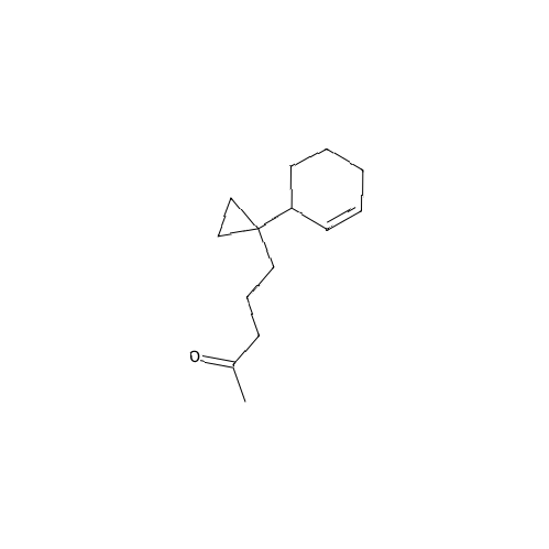 CC(=O)CCCC1(C2C=CCCC2)CC1